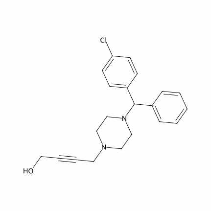 OCC#CCN1CCN(C(c2ccccc2)c2ccc(Cl)cc2)CC1